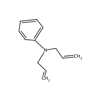 C=CCN(CC=C)c1[c]cccc1